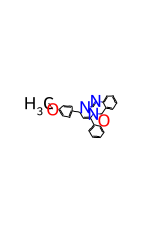 COc1ccc(-c2cc(-c3ccccc3)n3c(=O)c4ccccc4nc3n2)cc1